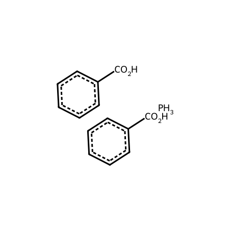 O=C(O)c1ccccc1.O=C(O)c1ccccc1.P